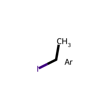 CCI.[Ar]